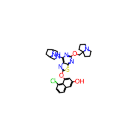 Oc1cc(Oc2nc3c(N4CC5CCC(C4)N5)nc(OCC45CCCN4CCC5)nc3s2)c2c(Cl)cccc2c1